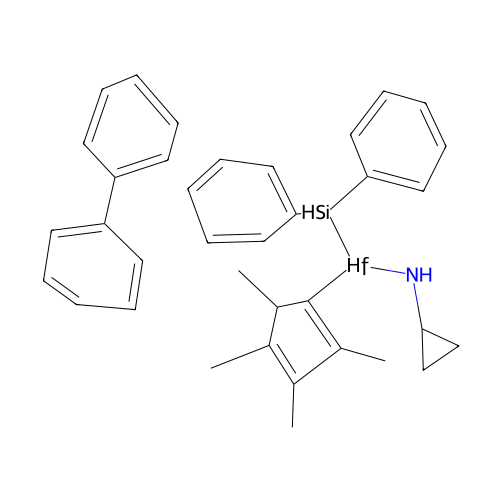 CC1=C(C)C(C)[C]([Hf]([NH]C2CC2)[SiH](c2ccccc2)c2ccccc2)=C1C.c1ccc(-c2ccccc2)cc1